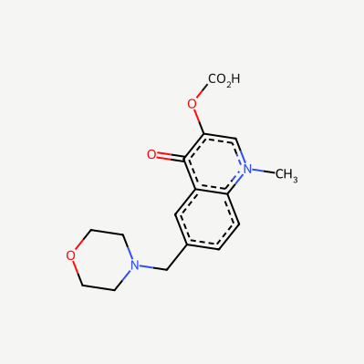 Cn1cc(OC(=O)O)c(=O)c2cc(CN3CCOCC3)ccc21